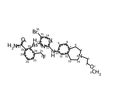 COCCN1CCc2ccc(Nc3ncc(Br)c([AsH]c4c(CF)cccc4C(N)=O)n3)cc2CC1